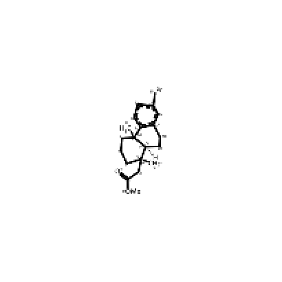 COC(=O)C[C@]1(C)CCC[C@]2(C)c3ccc(C(C)C)cc3CC[C@@H]12